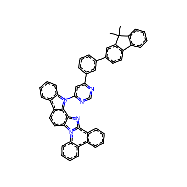 CC1(C)c2ccccc2-c2ccc(-c3cccc(-c4cc(-n5c6ccccc6c6ccc7c(nc8c9ccccc9c9ccccc9n78)c65)ncn4)c3)cc21